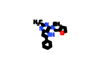 Cc1nc(N(C)Cc2ccco2)c2[nH]c(-c3ccccc3)cc2n1